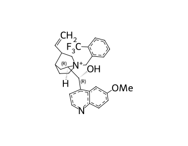 C=CC1C[N+]2(Cc3ccccc3C(F)(F)F)CCC1C[C@@H]2[C@H](O)c1ccnc2ccc(OC)cc12